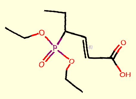 CCOP(=O)(OCC)C(/C=C/C(=O)O)CC